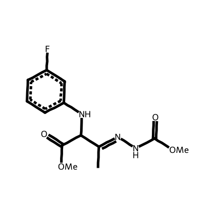 COC(=O)NN=C(C)C(Nc1cccc(F)c1)C(=O)OC